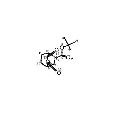 CC(C)(C)OC(=O)N1CC2CCC1C(=O)OC2=O